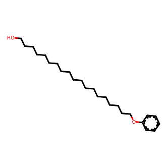 OCCCCCCCCCCCCCCCCCCCOc1ccccc1